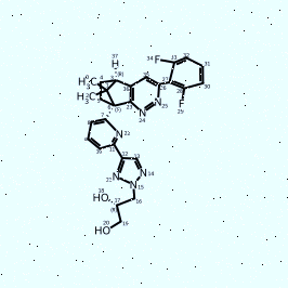 CC1(C)[C@H]2CC[C@]1(c1cccc(-c3cnn(C[C@@H](O)CO)n3)n1)c1nnc(-c3c(F)cccc3F)cc12